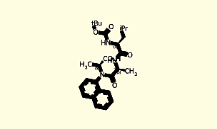 CC(C)C[C@H](NC(=O)OC(C)(C)C)C(=O)N[C@@H](C)C(=O)N(c1cccc2ccccc12)[C@@H](C)C(=O)O